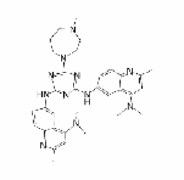 Cc1cc(N(C)C)c2cc(Nc3nc(Nc4ccc5nc(C)cc(N(C)C)c5c4)nc(N4CCCN(C)CC4)n3)ccc2n1